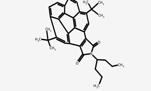 CCCC(CCC)n1c(=O)c2c3cc(C(C)(C)C)c4ccc5ccc6c(C(C)(C)C)cc(c2c1=O)c1c6c5c4c31